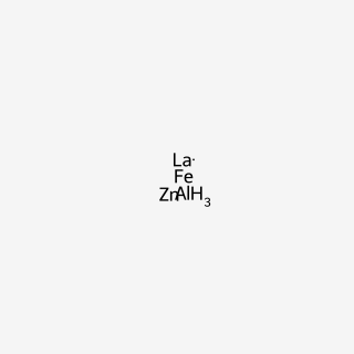 [AlH3].[Fe].[La].[Zn]